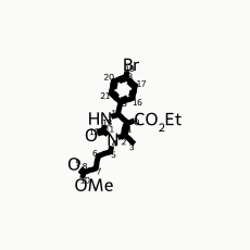 CCOC(=O)C1=C(C)N(CCCC(=O)OC)C(=O)NC1c1ccc(Br)cc1